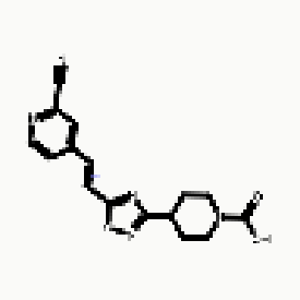 N#Cc1cc(/C=C/c2nc(C3CCN(C(=O)O)CC3)no2)ccn1